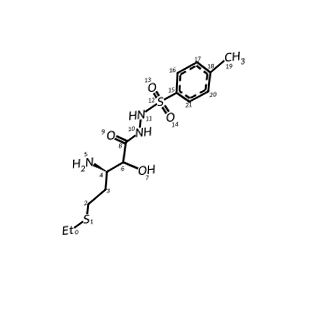 CCSCC[C@@H](N)C(O)C(=O)NNS(=O)(=O)c1ccc(C)cc1